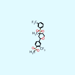 CC1(S(=O)(=O)c2cccc(C(F)(F)F)c2)CCOC(c2ccc(S(C)(=O)=O)c(C(F)(F)F)c2)C1